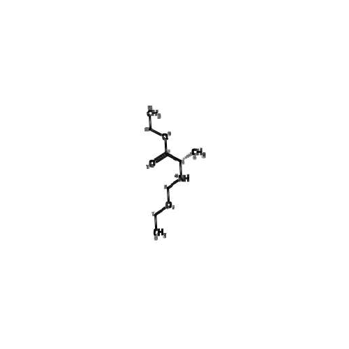 CCOCN[C@@H](C)C(=O)OCC